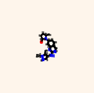 CCn1ncc(Nc2ncc3ccc(N4C(=O)CCC4C)cc3n2)c1C